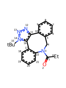 CCC(=O)N1Cc2ccccc2-c2nnn(C(C)(C)C)c2-c2ccccc21